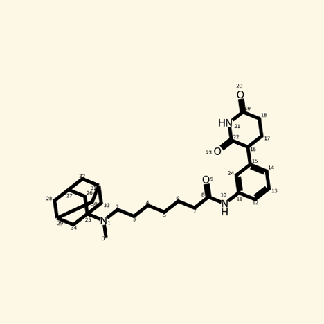 CN(CCCCCCC(=O)Nc1cccc(C2CCC(=O)NC2=O)c1)C12CC3CC(CC(C3)C1)C2